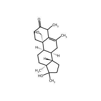 CC1=C2C(C)C(=O)CC[C@]2(CO)[C@@H]2CC[C@@]3(C)[C@@H](CCC3(C)O)[C@@H]2C1